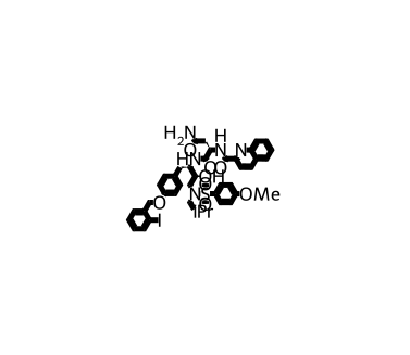 COc1ccc(S(=O)(=O)N(CC(C)C)C[C@@H](O)[C@H](Cc2ccc(OCc3ccccc3I)cc2)NC(=O)[C@H](CC(N)=O)NC(=O)c2ccc3ccccc3n2)cc1